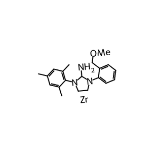 COCc1ccccc1N1CCN(c2c(C)cc(C)cc2C)C1N.[Zr]